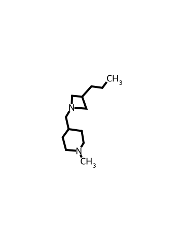 CCCC1CN(CC2CCN(C)CC2)C1